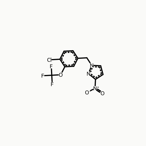 O=[N+]([O-])c1ccn(Cc2ccc(Cl)c(OC(F)(F)F)c2)n1